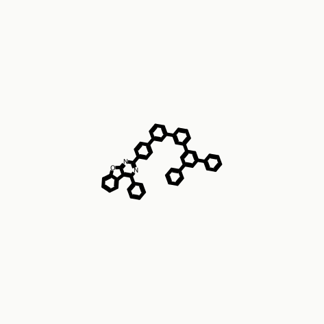 c1ccc(-c2cc(-c3ccccc3)cc(-c3cccc(-c4cccc(-c5ccc(-c6nc(-c7ccccc7)c7c(n6)oc6ccccc67)cc5)c4)c3)c2)cc1